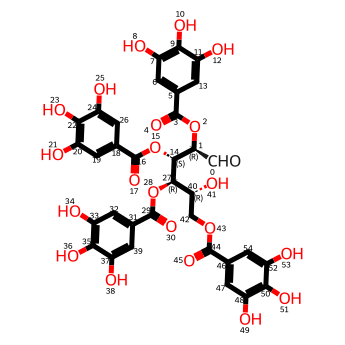 O=C[C@H](OC(=O)c1cc(O)c(O)c(O)c1)[C@@H](OC(=O)c1cc(O)c(O)c(O)c1)[C@H](OC(=O)c1cc(O)c(O)c(O)c1)[C@H](O)COC(=O)c1cc(O)c(O)c(O)c1